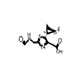 O=CNCc1nc(C(=O)O)c([C@@H]2C[C@@H]2F)s1